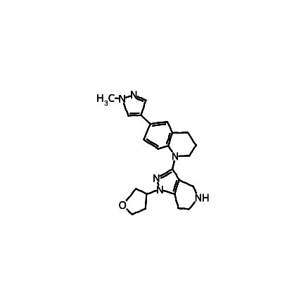 Cn1cc(-c2ccc3c(c2)CCCN3c2nn(C3CCOC3)c3c2CNCC3)cn1